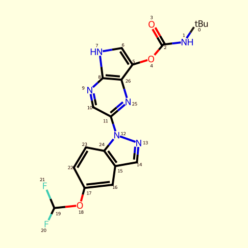 CC(C)(C)NC(=O)Oc1c[nH]c2ncc(-n3ncc4cc(OC(F)F)ccc43)nc12